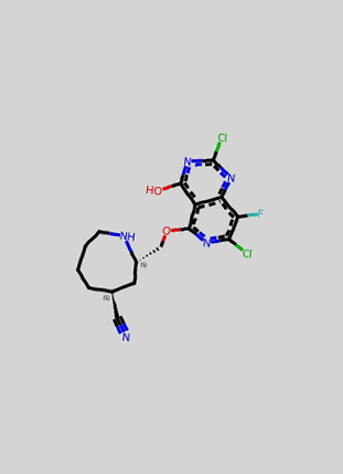 N#C[C@H]1CCCCN[C@H](COc2nc(Cl)c(F)c3nc(Cl)nc(O)c23)C1